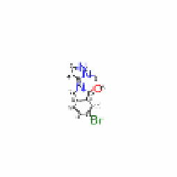 Cn1nccc1N1Cc2ccc(Br)cc2C1=O